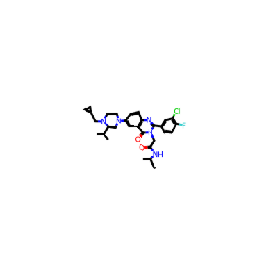 CC(C)NC(=O)Cn1c(-c2ccc(F)c(Cl)c2)nc2ccc(N3CCN(CC4CC4)C(C(C)C)C3)cc2c1=O